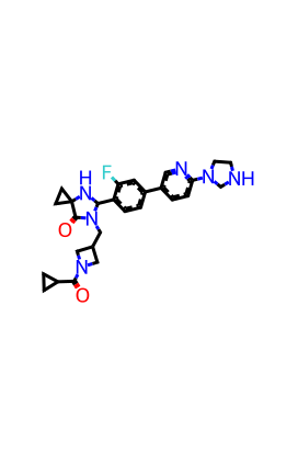 O=C(C1CC1)N1CC(CN2C(=O)C3(CC3)NC2c2ccc(-c3ccc(N4CCNC4)nc3)cc2F)C1